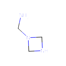 NCN1CNC1